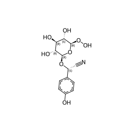 N#C[C@@H](O[C@@H]1O[C@H](OO)[C@@H](O)[C@H](O)[C@H]1O)c1ccc(O)cc1